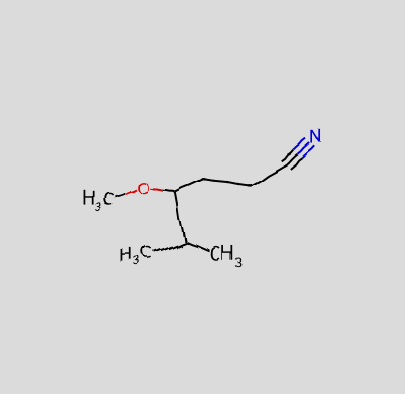 COC(CCC#N)C(C)C